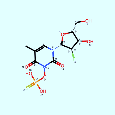 Cc1cn([C@@H]2O[C@H](CO)[C@@H](O)[C@H]2F)c(=O)n(OP(O)(O)=S)c1=O